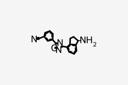 N#Cc1cccc(-c2nc(-c3cccc4c3CC[C@H]4N)no2)c1